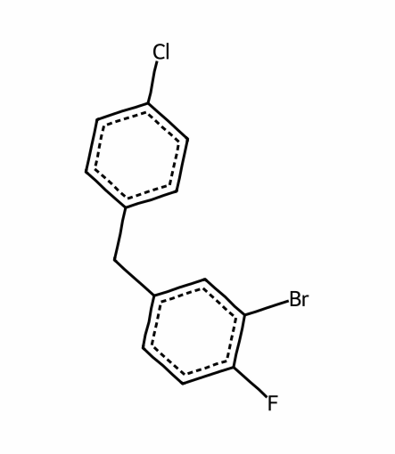 Fc1ccc(Cc2ccc(Cl)cc2)cc1Br